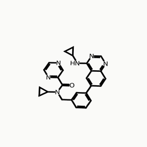 O=C(c1cnccn1)N(Cc1cccc(-c2ccc3ncnc(NC4CC4)c3c2)c1)C1CC1